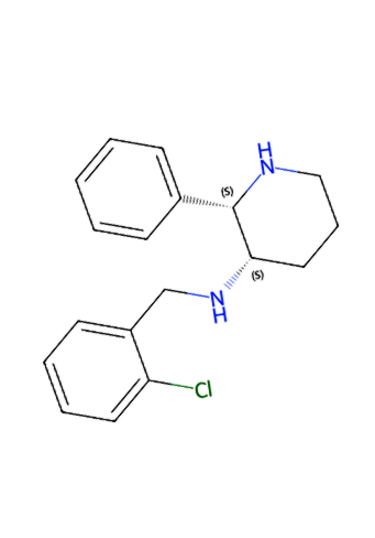 Clc1ccccc1CN[C@H]1CCCN[C@H]1c1ccccc1